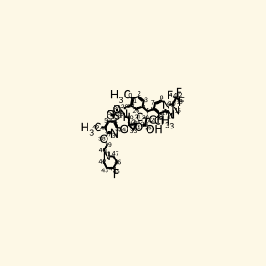 Cc1ccc([C@H](c2ccn3c(C(F)(F)F)nnc3c2C)C(C)(C)C(=O)O)cc1CN1CC2(CC2)Oc2nc(OCCN3CCC(F)CC3)c(C)cc2S1(=O)=O